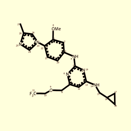 COc1cc(Nc2nc(COCC(F)(F)F)cc(NCC3CC3)n2)ccc1-n1cnc(C)c1